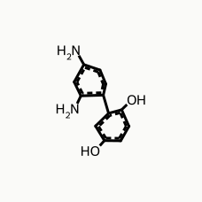 Nc1ccc(-c2cc(O)ccc2O)c(N)c1